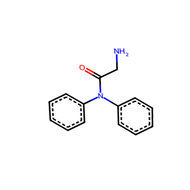 NCC(=O)N(c1ccccc1)c1ccccc1